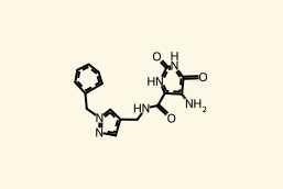 Nc1c(C(=O)NCc2cnn(Cc3ccccc3)c2)[nH]c(=O)[nH]c1=O